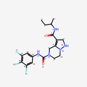 CCC(C)NC(=O)C1=C2CN(C(=O)Nc3cc(F)c(F)c(F)c3)CCN2NC1